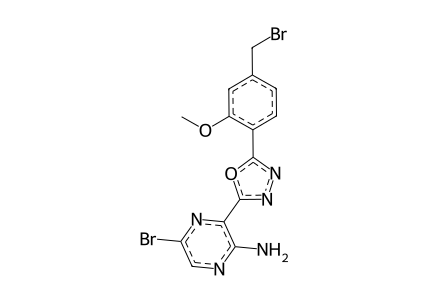 COc1cc(CBr)ccc1-c1nnc(-c2nc(Br)cnc2N)o1